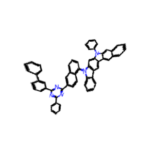 c1ccc(-c2cccc(-c3nc(-c4ccccc4)nc(-c4ccc5c(-n6c7ccccc7c7cc8c9cc%10ccccc%10cc9n(-c9ccccc9)c8cc76)cccc5c4)n3)c2)cc1